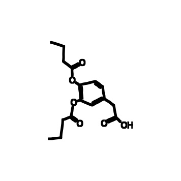 CCCC(=O)Oc1ccc(CC(=O)O)cc1OC(=O)CCC